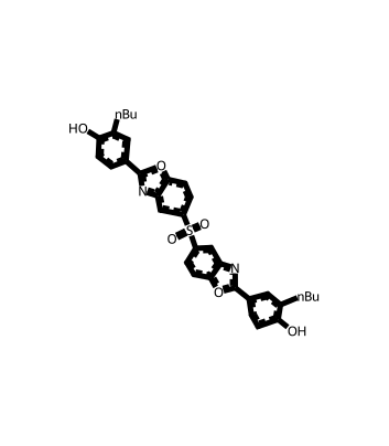 CCCCc1cc(-c2nc3cc(S(=O)(=O)c4ccc5oc(-c6ccc(O)c(CCCC)c6)nc5c4)ccc3o2)ccc1O